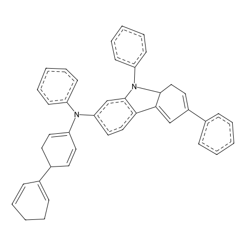 C1=CC(C2C=CC(N(c3ccccc3)c3ccc4c(c3)N(c3ccccc3)C3CC=C(c5ccccc5)C=C43)=CC2)=CCC1